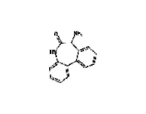 NC1C(=O)Nc2ccccc2-c2ccccc21